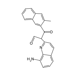 Cc1cc2ccccc2cc1C(=O)C(C=O)c1ccc2cccc(N)c2n1